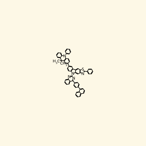 CC1(C)c2ccccc2N(c2ccccc2)c2ccc(-c3ccc4c(c3)c3cc5sc(-c6ccccc6)nc5cc3n4-c3nc(-c4ccc(-c5cccc6ccccc56)cc4)c4ccccc4n3)cc21